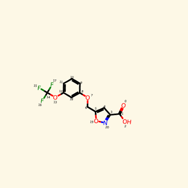 O=C(O)c1cc(COc2cccc(OC(F)(F)F)c2)on1